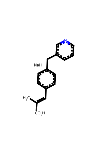 CC(=Cc1ccc(Cc2cccnc2)cc1)C(=O)O.[NaH]